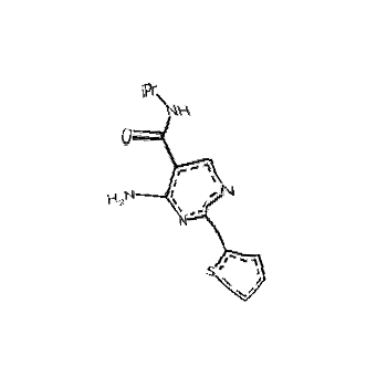 CC(C)NC(=O)c1cnc(-c2cccs2)nc1N